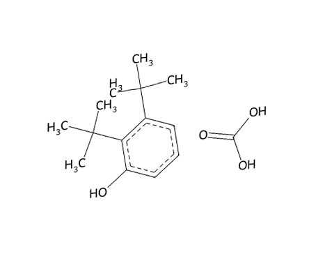 CC(C)(C)c1cccc(O)c1C(C)(C)C.O=C(O)O